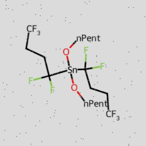 CCCCC[O][Sn]([O]CCCCC)([C](F)(F)CCC(F)(F)F)[C](F)(F)CCC(F)(F)F